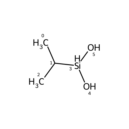 CC(C)[SiH](O)O